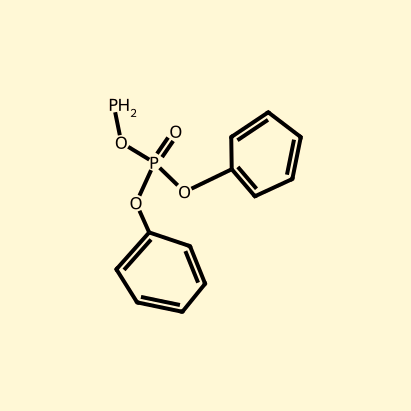 O=P(OP)(Oc1ccccc1)Oc1ccccc1